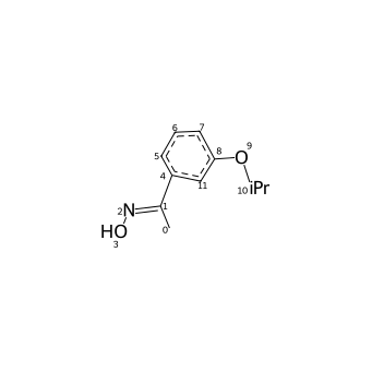 C/C(=N\O)c1cccc(OC(C)C)c1